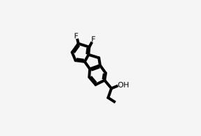 CCC(O)c1ccc2c(c1)Cc1c-2ccc(F)c1F